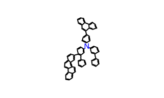 c1ccc(-c2cccc(N(c3ccc(-c4cc5ccccc5c5ccccc45)cc3)c3ccc(-c4ccc5ccc6c7ccccc7ccc6c5c4)c(-c4ccccc4)c3)c2)cc1